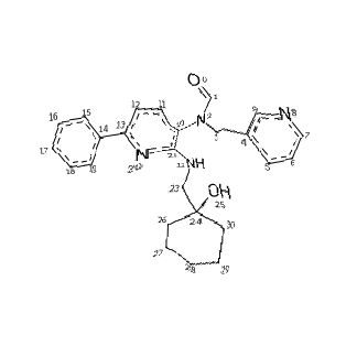 O=CN(Cc1cccnc1)c1ccc(-c2ccccc2)nc1NCC1(O)CCCCC1